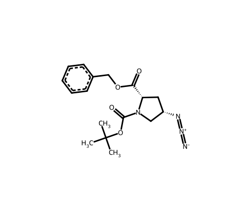 CC(C)(C)OC(=O)N1C[C@@H](N=[N+]=[N-])C[C@H]1C(=O)OCc1ccccc1